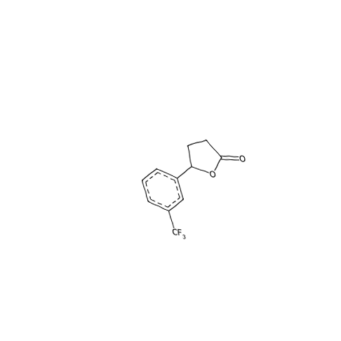 O=C1CCC(c2cccc(C(F)(F)F)c2)O1